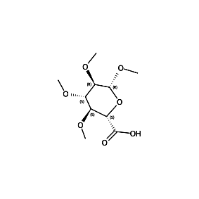 CO[C@@H]1O[C@H](C(=O)O)[C@@H](OC)[C@H](OC)[C@H]1OC